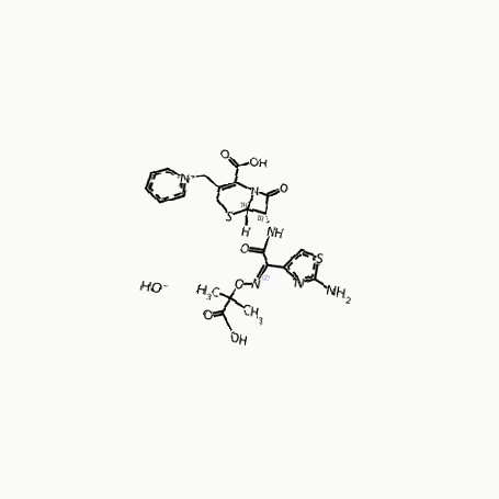 CC(C)(O/N=C(\C(=O)N[C@H]1C(=O)N2C(C(=O)O)=C(C[n+]3ccccc3)CS[C@@H]12)c1csc(N)n1)C(=O)O.[OH-]